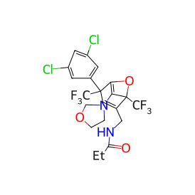 CCC(=O)NCC1=CC(c2cc(Cl)cc(Cl)c2)(C(F)(F)F)C2=C(N3CCOC3)C1(C(F)(F)F)O2